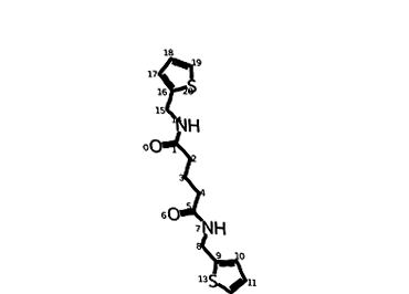 O=C(CCCC(=O)NCc1cccs1)NCc1cccs1